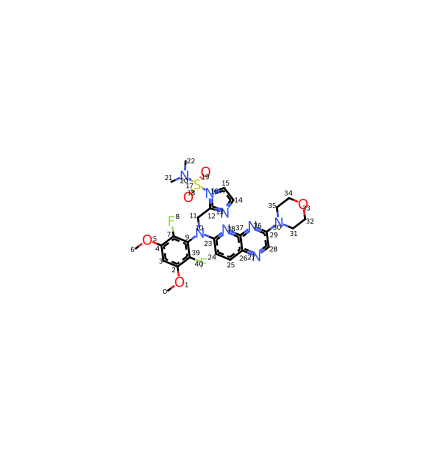 COc1cc(OC)c(F)c(N(Cc2nccn2S(=O)(=O)N(C)C)c2ccc3ncc(N4CCOCC4)nc3n2)c1F